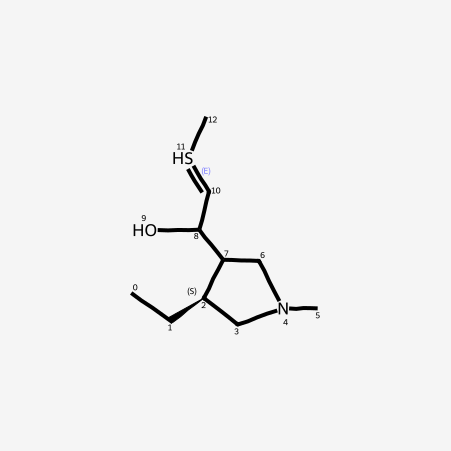 CC[C@@H]1CN(C)CC1C(O)/C=[SH]/C